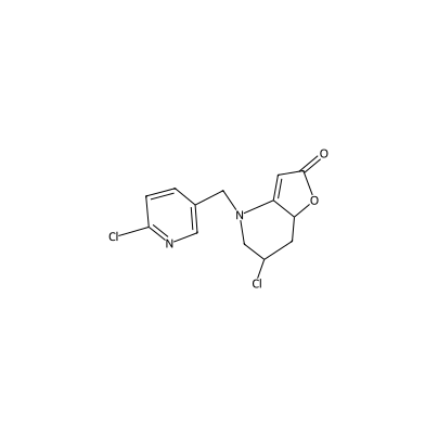 O=C1C=C2C(CC(Cl)CN2Cc2ccc(Cl)nc2)O1